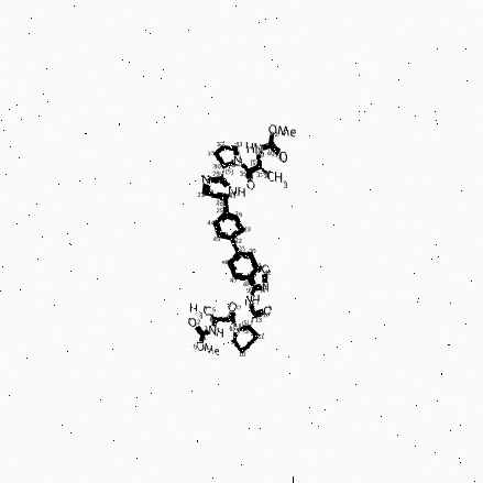 COC(=O)N[C@@H](C)C(=O)N1CCC[C@H]1C(=O)Nc1noc2cc(-c3ccc(-c4cnc([C@@H]5CCCN5C(=O)[C@H](C)NC(=O)OC)[nH]4)cc3)ccc12